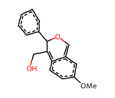 COc1ccc2c(c1)=COC(c1ccccc1)C=2CO